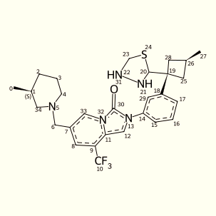 C[C@H]1CCCN(Cc2cc(C(F)(F)F)c3cn(-c4cccc([C@]5(C6NNCS6)C[C@H](C)C5)c4)c(=O)n3c2)C1